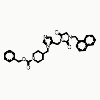 O=C(OCc1ccccc1)N1CCC(Cn2cncc2CN2C(=O)CN(Cc3cccc4ccccc34)C2=O)CC1